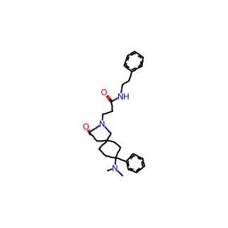 CN(C)C1(c2ccccc2)CCC2(CC1)CC(=O)N(CCC(=O)NCCc1ccccc1)C2